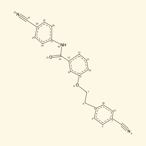 N#Cc1ccc(CCOc2cccc(C(=O)Nc3ccc(C#N)cc3)c2)cc1